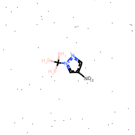 BC(B)(B)n1cc([N+](=O)[O-])cn1